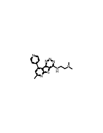 Cc1cc(-c2ccncc2)c2c(n1)sc1c(NCCN(C)C)nnnc12